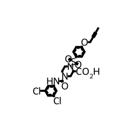 CC#CCOc1ccc(S(=O)(=O)N2CCN(C(=O)Nc3cc(Cl)cc(Cl)c3)CC2C(=O)O)cc1